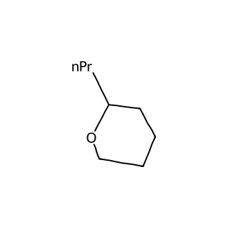 C[CH]CC1CCCCO1